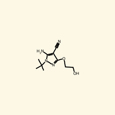 CC(C)(C)n1nc(OCCO)c(C#N)c1N